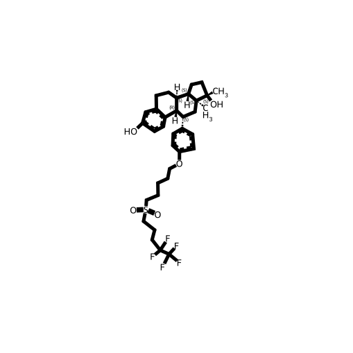 C[C@]1(O)CC[C@H]2[C@@H]3CCc4cc(O)ccc4[C@H]3[C@@H](c3ccc(OCCCCCS(=O)(=O)CCCC(F)(F)C(F)(F)F)cc3)C[C@@]21C